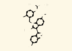 Cc1c(-c2noc3cc(Cl)ccc23)c2ccc(OC(F)(F)F)cc2n1Cc1cc(O[C@@H](C)C(=O)O)ccc1Cl